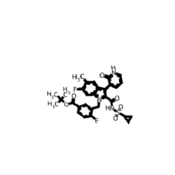 Cc1cc2c(-c3ccc[nH]c3=O)c(C(=O)NS(=O)(=O)C3CC3)n(Cc3cc(C(=O)OC(C)(C)C)ccc3F)c2cc1F